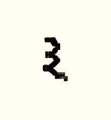 C/C=N\NCC(N)=O